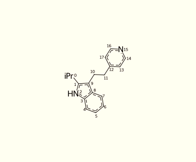 CC(C)c1[nH]c2ccccc2c1CCc1ccncc1